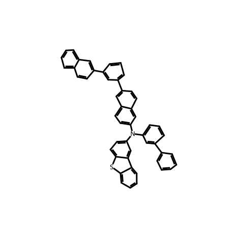 c1ccc(-c2cccc(N(c3ccc4cc(-c5cccc(-c6ccc7ccccc7c6)c5)ccc4c3)c3ccc4sc5ccccc5c4c3)c2)cc1